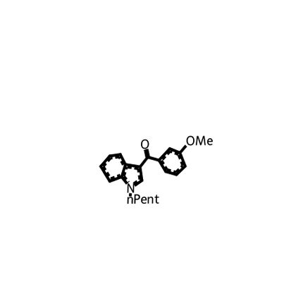 CCCCCn1cc(C(=O)c2cccc(OC)c2)c2ccccc21